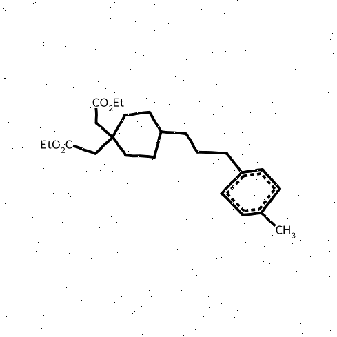 CCOC(=O)CC1(CC(=O)OCC)CCC(CCCc2ccc(C)cc2)CC1